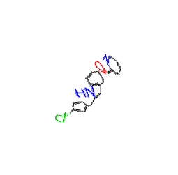 Clc1ccc(Cc2cc3cc(OCc4ccccn4)ccc3[nH]2)cc1